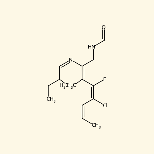 C\C=C/C(Cl)=C(F)\C(C)=C(CNC=O)\N=C/C(C)CC